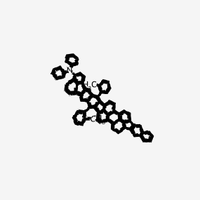 Cc1ccccc1-c1c2cc3c(cc2c(-c2ccccc2C)c2c4ccc5c6ccc7c8c(ccc(c9ccc(c12)c4c95)c86)-c1cc2ccccc2cc1-7)c1ccc(N(c2ccccc2)c2ccccc2)c2cccc3c21